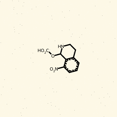 O=C(O)OC1NCCc2cccc([N+](=O)[O-])c21